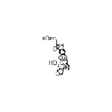 CCCCCCCCCCCCNC(=O)c1ccc(CN(Cc2cnc(N3CCOCC3)s2)C(=O)C(=O)O)cc1